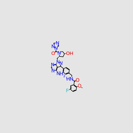 COc1ccc(F)cc1C(=O)NCc1ccc(-c2nn(C[C@@H]3C[C@H](O)CN3C(=O)n3cncn3)c3ncnc(N)c23)cc1